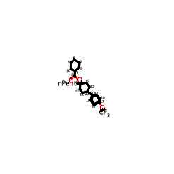 CCCCCC1(OC(=O)C2CCCCC2)CCC(c2ccc(OC(F)(F)F)cc2)CC1